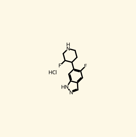 Cl.Fc1cc2cn[nH]c2cc1C1CCNCC1F